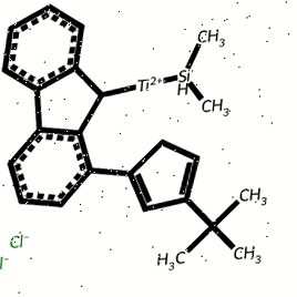 C[SiH](C)[Ti+2][CH]1c2ccccc2-c2cccc(C3=CC(C(C)(C)C)=CC3)c21.[Cl-].[Cl-]